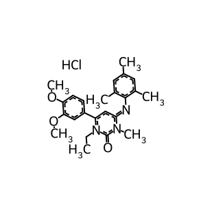 CCn1c(-c2ccc(OC)c(OC)c2)cc(=Nc2c(C)cc(C)cc2C)n(C)c1=O.Cl